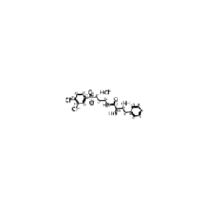 Cl.N[C@@H](Cc1ccccc1)[C@@H](O)C(=O)NCCCS(=O)(=O)c1ccc(Cl)c(Cl)c1